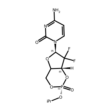 CC(C)O[P@]1(=O)OCC2O[C@@H](n3ccc(N)nc3=O)C(F)(F)[C@@H]2O1